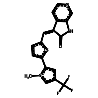 Cn1cc(C(F)(F)F)cc1-c1ccc(C=C2C(=O)Nc3cnccc32)s1